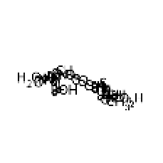 C=CC(=O)N1CCN(c2nc(O[C@H](C)CN3CCC(OCCOCCOCCOc4ccc(-c5csc([C@@H]6CCCN6C(=O)[C@@H](NC(=O)[C@H](C)N(C)C(=O)O)C6CCCCC6)n5)c5ccccc45)CC3)nc3c2CCN(c2cc(O)cc4ccccc24)C3)CC1